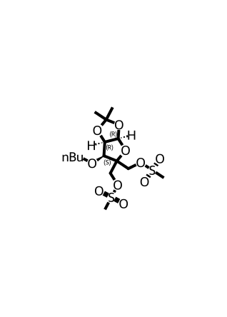 CCCCO[C@H]1[C@H]2OC(C)(C)O[C@H]2OC1(COS(C)(=O)=O)COS(C)(=O)=O